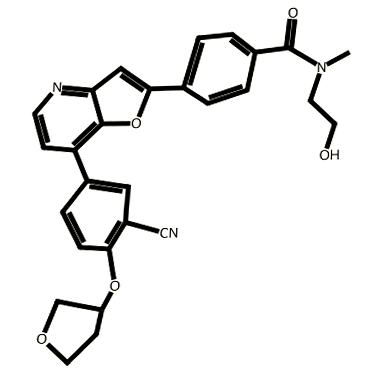 CN(CCO)C(=O)c1ccc(-c2cc3nccc(-c4ccc(OC5CCOC5)c(C#N)c4)c3o2)cc1